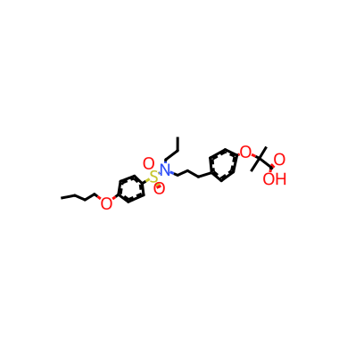 CCCCOc1ccc(S(=O)(=O)N(CCC)CCCc2ccc(OC(C)(C)C(=O)O)cc2)cc1